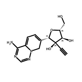 C#C[C@@]1(O)[C@H](O)[C@@H](CO)O[C@H]1C1=CC=C2C(N)=NC=NN2C1